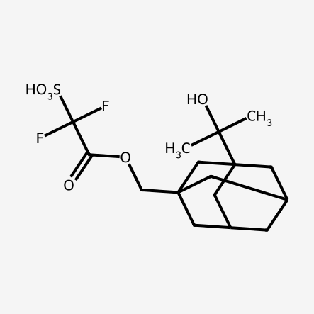 CC(C)(O)C12CC3CC(CC(COC(=O)C(F)(F)S(=O)(=O)O)(C3)C1)C2